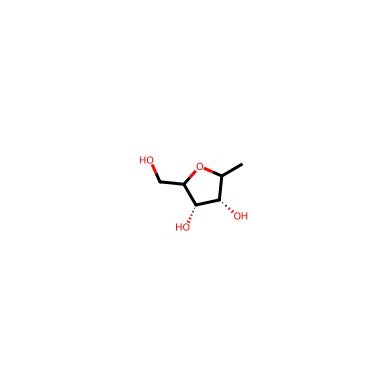 CC1OC(CO)[C@@H](O)[C@H]1O